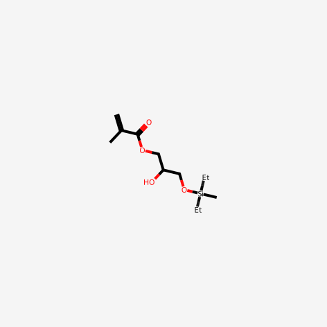 C=C(C)C(=O)OCC(O)CO[Si](C)(CC)CC